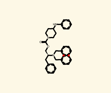 O=C(OC[C@H](Cc1ccccc1)N(Cc1ccccc1)Cc1ccccc1)N1CCC(Nc2ccccc2)CC1